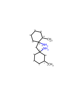 CC1CCCC(N)(CC2(N)CCCCC2C)C1